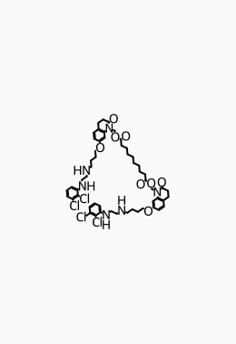 O=C(CCCCCCCCC(=O)OCN1C(=O)CCc2ccc(OCCCCNCCNc3cccc(Cl)c3Cl)cc21)OCN1C(=O)CCc2ccc(OCCCCNCCNc3cccc(Cl)c3Cl)cc21